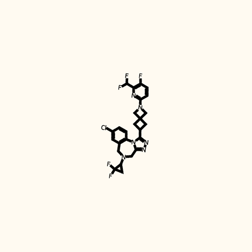 Fc1ccc(N2CC3(CC(c4nnc5n4-c4ccc(Cl)cc4CN(C4CC4(F)F)C5)C3)C2)nc1C(F)F